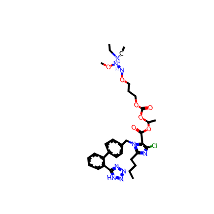 CCCCc1nc(Cl)c(C(=O)OC(C)OC(=O)OCCCO/N=[N+](\OC)N(CC)CC)n1Cc1ccc(-c2ccccc2-c2nnn[nH]2)cc1